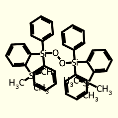 C[Si](C)(C)c1ccccc1[Si](OO[Si](c1ccccc1)(c1ccccc1)c1ccccc1[Si](C)(C)C)(c1ccccc1)c1ccccc1